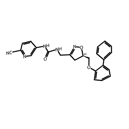 N#Cc1ccc(NC(=O)NCC2=NO[C@@H](COc3ccccc3-c3ccccc3)C2)cn1